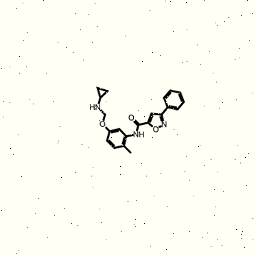 Cc1ccc(OCNC2CC2)cc1NC(=O)c1cc(-c2ccccc2)no1